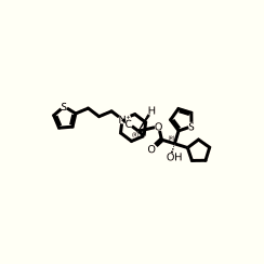 O=C(O[C@H]1C[N+]2(CCCc3cccs3)CCC1CC2)[C@@](O)(c1cccs1)C1CCCC1